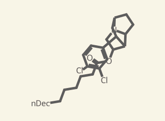 CCCCCCCCCCCCCCCC(=O)OC1CN2C3CCC2C1C(c1ccc(Cl)c(Cl)c1)C3